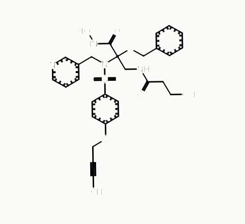 CC#CCOc1ccc(S(=O)(=O)N(Cc2cccnc2)C(CNC(=O)CCO)(SCc2ccccc2)C(=O)NO)cc1